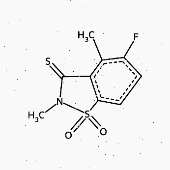 Cc1c(F)ccc2c1C(=S)N(C)S2(=O)=O